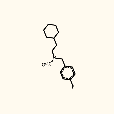 O=CN(CCC1CCCCC1)Cc1ccc(F)cc1